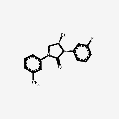 CC[C@@H]1CN(c2cccc(C(F)(F)F)c2)C(=O)[C@@H]1c1cccc(F)c1